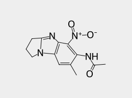 CC(=O)Nc1c(C)cc2c(nc3n2CCC3)c1[N+](=O)[O-]